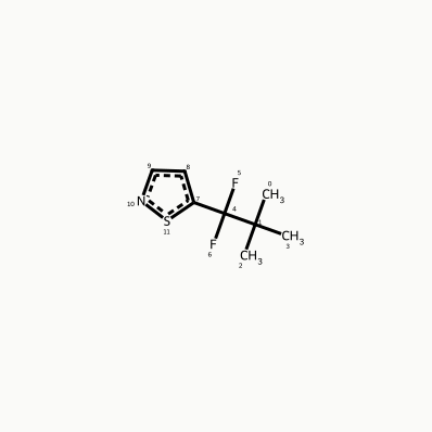 CC(C)(C)C(F)(F)c1ccns1